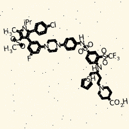 Cc1c(S(C)(=O)=O)c(-c2cc(F)cc(N3CCN(c4ccc(NS(=O)(=O)c5ccc(NC(CCN6CCC(C(=O)O)CC6)C[SH]6C=CC=C6)c(S(=O)(=O)C(F)(F)F)c5)cc4)CC3)c2)c(-c2ccc(Cl)cc2)n1C(C)C